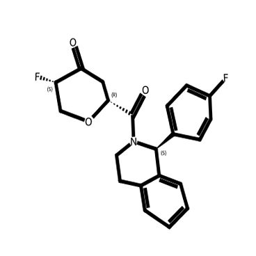 O=C1C[C@H](C(=O)N2CCc3ccccc3[C@@H]2c2ccc(F)cc2)OC[C@@H]1F